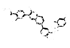 CNC(=O)c1ccc(-c2cc3cc(-c4cnc(OC)c(NS(=O)(=O)c5ccc(F)cc5F)c4)ccc3nc2N)cc1Cl